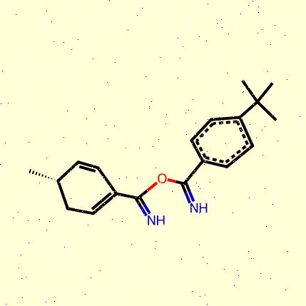 C[C@@H]1C=CC(C(=N)OC(=N)c2ccc(C(C)(C)C)cc2)=CC1